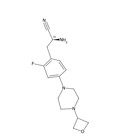 N#C[C@@H](N)Cc1ccc(N2CCN(C3COC3)CC2)cc1F